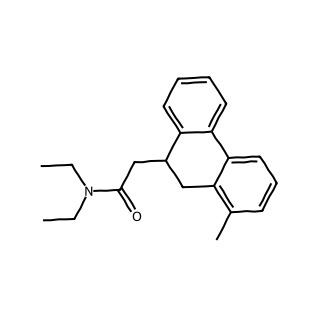 CCN(CC)C(=O)CC1Cc2c(C)cccc2-c2ccccc21